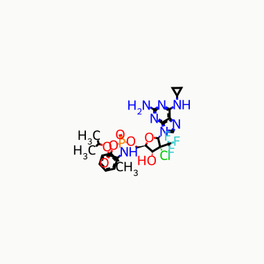 CC(C)OC(=O)[C@H](C)N[P@](=O)(OC[C@H]1O[C@@H](n2cnc3c(NC4CC4)nc(N)nc32)[C@@](Cl)(C(F)(F)F)[C@@H]1O)Oc1ccccc1